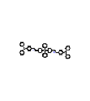 C(=C\c1ccc([Si](c2ccccc2)(c2ccccc2)c2ccc(/C=C/c3ccc(N(c4ccccc4)c4ccccc4)cc3)cc2)cc1)/c1ccc(N(c2ccccc2)c2ccccc2)cc1